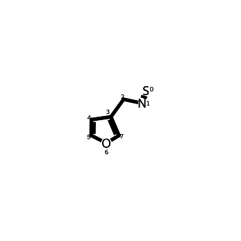 S=NCc1ccoc1